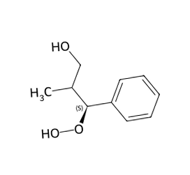 CC(CO)[C@H](OO)c1ccccc1